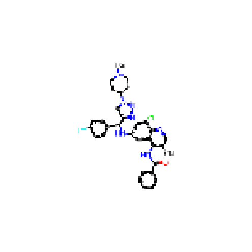 CC(C)(C)N1CCC(n2cc(C(Nc3cc(Cl)c4ncc(C#N)c(NC(=O)c5ccccc5)c4c3)c3ccc(F)cc3)nn2)CC1